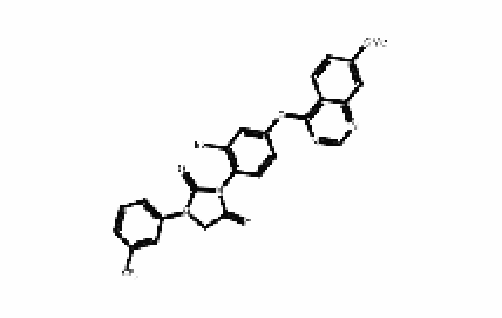 CCc1cc(Oc2ncnc3cc(OC)ccc23)ccc1N1C(=O)CN(c2cccc(C(F)(F)F)c2)C1=O